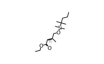 CCCC(C)(C)[Si](C)(C)OC/C(C)=C/C(=O)OCC